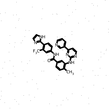 Cc1ccc(C(=O)Nc2ccc(-c3ncc[nH]3)c(C(F)(F)F)c2)cc1Nc1nccc(-c2cccnc2)n1